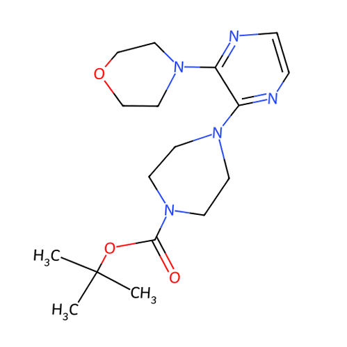 CC(C)(C)OC(=O)N1CCN(c2nccnc2N2CCOCC2)CC1